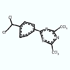 ClC(Cl)c1ccc(-c2nc(C(Cl)(Cl)Cl)nc(C(Cl)(Cl)Cl)n2)cc1